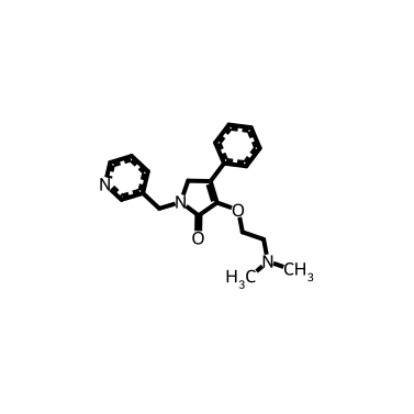 CN(C)CCOC1=C(c2ccccc2)CN(Cc2cccnc2)C1=O